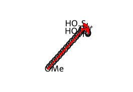 COCCOCCOCCOCCOCCOCCOCCOCCOCCOCCOCCOCCOCCOCCOCCOCCOCCOCCOCCOCCOCCOCCOCCOCCNC(=O)CCCCCN1C(=CC=CC2=[N+](CCCCCC(=O)O)c3ccc(SOOO)cc3C2(C)C)C(C)(C)c2cc(S(=O)(=O)O)ccc21